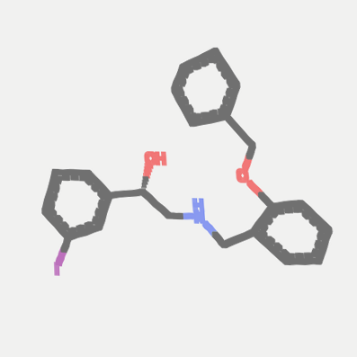 O[C@H](CNCc1ccccc1OCc1ccccc1)c1cccc(I)c1